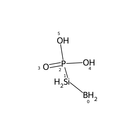 B[SiH2]P(=O)(O)O